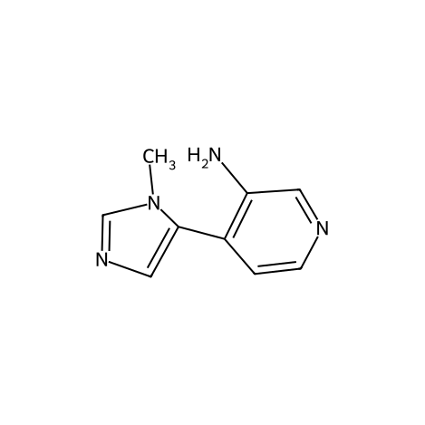 Cn1cncc1-c1ccncc1N